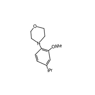 COc1cc(C(C)C)ccc1N1CCOCC1